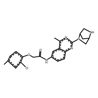 Cc1ccc(OCC(=O)Nc2ccc3nc(N4CC5CC4CN5)nc(C)c3c2)c(Cl)c1